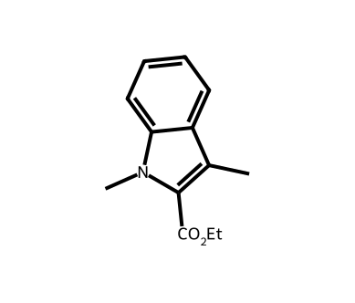 CCOC(=O)c1c(C)c2ccccc2n1C